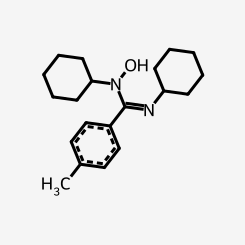 Cc1ccc(C(=NC2CCCCC2)N(O)C2CCCCC2)cc1